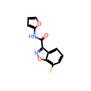 O=C(Nc1ccco1)c1noc2c(F)cccc12